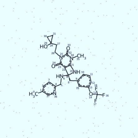 Cc1ccc(CN[C@@]2(Cc3cccc(OC(F)(F)F)c3)Nc3c2c(=O)n(CCC2(O)CC2)c(=O)n3C)nc1